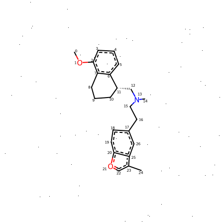 COc1cccc2c1CCC[C@H]2CN(C)CCc1ccc2occ(C)c2c1